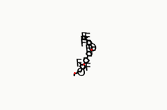 CCCCOc1cc(F)c(C2CCC(C3CCC(C(F)(F)Oc4ccc(C(F)(F)F)c(F)c4)CC3)CC2)c(F)c1